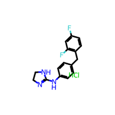 Cl.Fc1ccc(Cc2ccc(NC3=NCCN3)cc2)c(F)c1